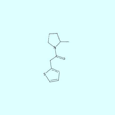 CC1CCCN1C(=O)Cc1cccs1